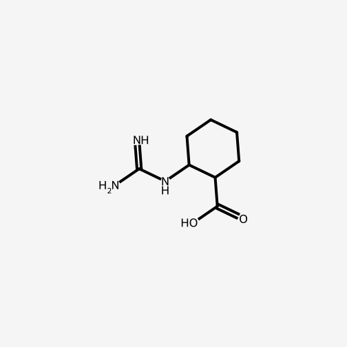 N=C(N)NC1CCCCC1C(=O)O